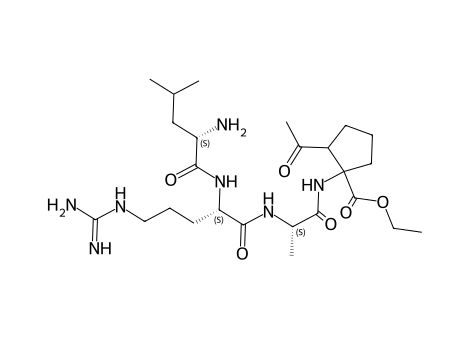 CCOC(=O)C1(NC(=O)[C@H](C)NC(=O)[C@H](CCCNC(=N)N)NC(=O)[C@@H](N)CC(C)C)CCCC1C(C)=O